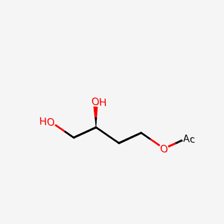 CC(=O)OCC[C@H](O)CO